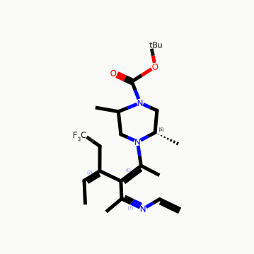 C=C\N=C(C)/C(C(=C\C)/CC(F)(F)F)=C(\C)N1CC(C)N(C(=O)OC(C)(C)C)C[C@@H]1C